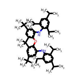 CC(C)c1cc(C(C)C)c(Nc2cc(C(C)(C)C)cc3c2Oc2c(Nc4c(C(C)C)cc(C(C)C)cc4C(C)C)cc(C(C)(C)C)cc2C3(C)C)c(C(C)C)c1